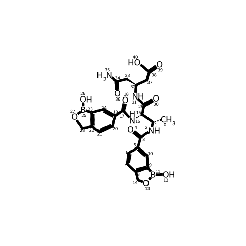 C[C@H](NC(=O)c1ccc2c(c1)B(O)OC2)[C@H](NC(=O)c1ccc2c(c1)B(O)OC2)C(=O)N[C@@H](CC(N)=O)CC(=O)O